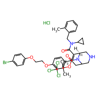 Cc1ccccc1CN(C(=O)C1=C(c2ccc(OCCOc3ccc(Br)cc3)cc2)CC2CNC[C@H]1N2C(=O)OC(C)(C)C(Cl)(Cl)Cl)C1CC1.Cl